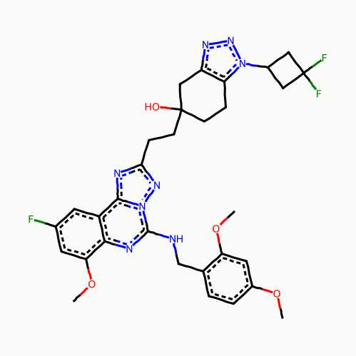 COc1ccc(CNc2nc3c(OC)cc(F)cc3c3nc(CCC4(O)CCc5c(nnn5C5CC(F)(F)C5)C4)nn23)c(OC)c1